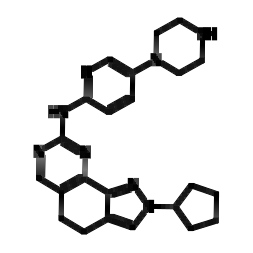 c1cc(Nc2ncc3c(n2)-c2nn(C4CCCC4)cc2CC3)ncc1N1CCNCC1